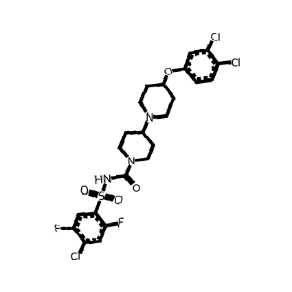 O=C(NS(=O)(=O)c1cc(F)c(Cl)cc1F)N1CCC(N2CCC(Oc3ccc(Cl)c(Cl)c3)CC2)CC1